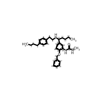 CCCCc1ccc(CCNC(CCCC)c2ccc(OCc3ccccc3)c(NC(=O)NC)c2)cc1